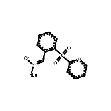 CC(C)(C)/[N+]([O-])=C/c1ccccc1S(=O)(=O)c1ccccn1